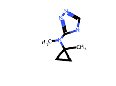 CN(C1=NN=C[N]1)C1(C)CC1